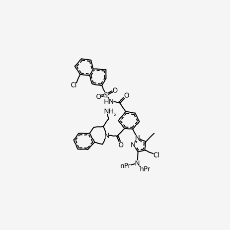 CCCN(CCC)c1nn(-c2ccc(C(=O)NS(=O)(=O)c3ccc4cccc(Cl)c4c3)cc2C(=O)N2Cc3ccccc3CC2CN)c(C)c1Cl